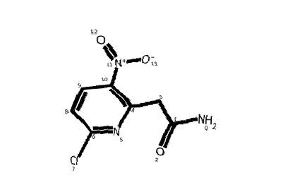 NC(=O)Cc1nc(Cl)ccc1[N+](=O)[O-]